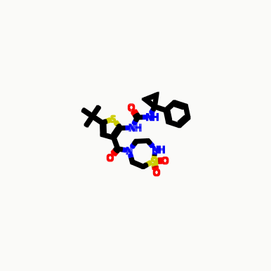 CC(C)(C)c1cc(C(=O)N2CCNS(=O)(=O)CC2)c(NC(=O)NC2(c3ccccc3)CC2)s1